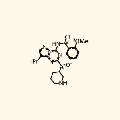 COc1ccccc1[C@H](C)Nc1nc([S@+]([O-])C2CCCNC2)nc2c(C(C)C)cnn12